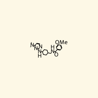 COc1cccc(C(=O)NCC2CCC(Nc3nccc(N(C)C)n3)CC2)c1